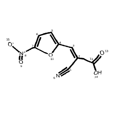 N#C/C(=C\c1ccc([N+](=O)[O-])o1)C(=O)O